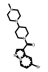 CN1CCN(C2CCN(C(=O)c3cnn4ccc(Br)cc34)CC2)CC1